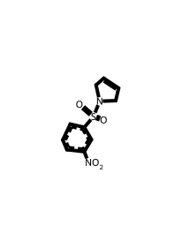 O=[N+]([O-])c1cccc(S(=O)(=O)N2CC=CC2)c1